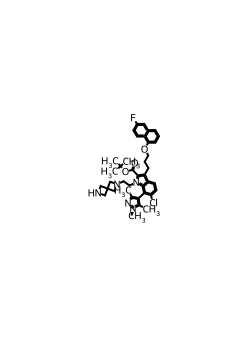 Cc1nn(C)c(C)c1-c1c(Cl)ccc2c(CCCOc3cccc4cc(F)ccc34)c(C(=O)OC(C)(C)C)n(CCN3CC4(CNC4)C3)c12